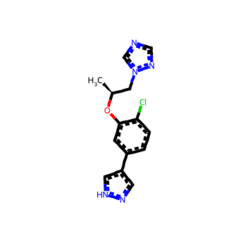 C[C@@H](Cn1cncn1)Oc1cc(-c2cn[nH]c2)ccc1Cl